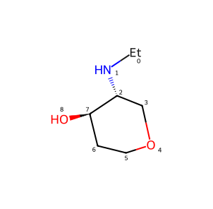 CCN[C@@H]1COCC[C@H]1O